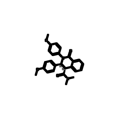 COc1ccc([C@@H]2[C@@H](C(=O)N(C)C)c3ccccc3C(=O)N2c2ccc(OC)cc2)cc1